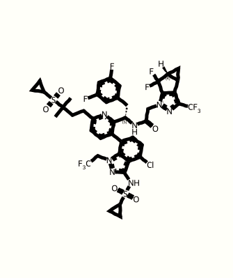 CC(C)(CCc1ccc(-c2ccc(Cl)c3c(NS(=O)(=O)C4CC4)nn(CC(F)(F)F)c23)c([C@H](Cc2cc(F)cc(F)c2)NC(=O)Cn2nc(C(F)(F)F)c3c2C(F)(F)[C@@H]2CC32)n1)S(=O)(=O)C1CC1